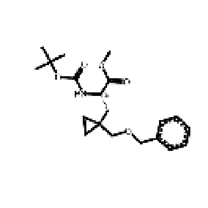 COC(=O)[C@H](CC1(COCc2ccccc2)CC1)NC(=O)OC(C)(C)C